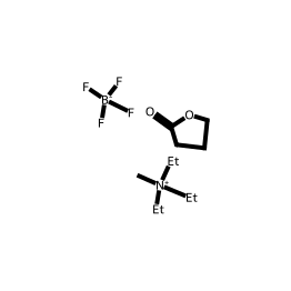 CC[N+](C)(CC)CC.F[B-](F)(F)F.O=C1CCCO1